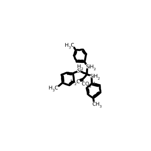 C=C(C(=O)O)C([SiH2]c1ccc(C)cc1)([SiH2]c1ccc(C)cc1)[SiH2]c1ccc(C)cc1